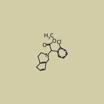 COC(=O)C(c1ccccc1Cl)N1CCC2=C(C=CC2)C1